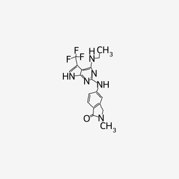 CCNc1nc(Nc2ccc3c(c2)CN(C)C3=O)nc2[nH]cc(C(F)(F)F)c12